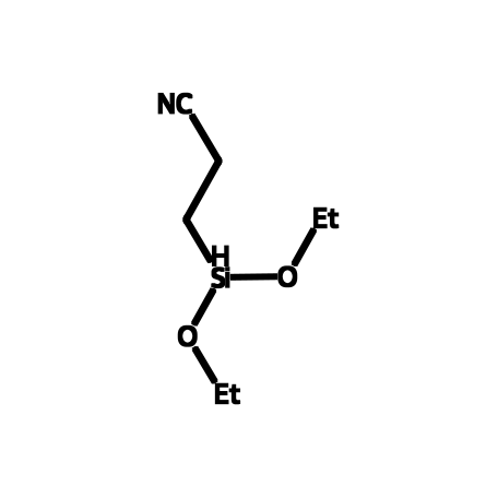 CCO[SiH](CCC#N)OCC